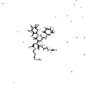 CCCCCCCCCCCCCOC(=O)CC(C(=O)OCCCCCCCCCCCCC)C(CC(=O)OC1CC(C)(C)N(C)C(C)C1C)C(=O)OC1CC(C)(C)N(C)C(C)C1C